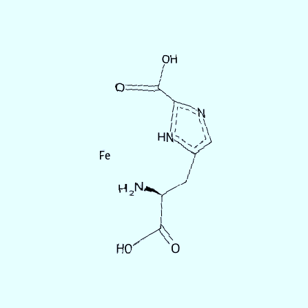 N[C@@H](Cc1cnc(C(=O)O)[nH]1)C(=O)O.[Fe]